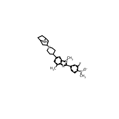 Cc1cc(C2CCN(C3CC4CCC(C3)N4)CC2)cc2c1nc(-c1ccc([S+](C)[O-])c(F)c1)n2C